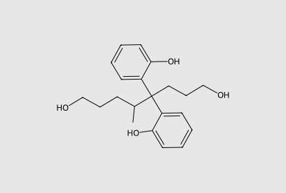 CC(CCCO)C(CCCO)(c1ccccc1O)c1ccccc1O